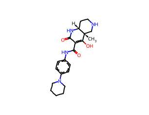 C[C@]12CNCC[C@H]1NC(=O)C(C(=O)Nc1ccc(N3CCCCC3)cc1)=C2O